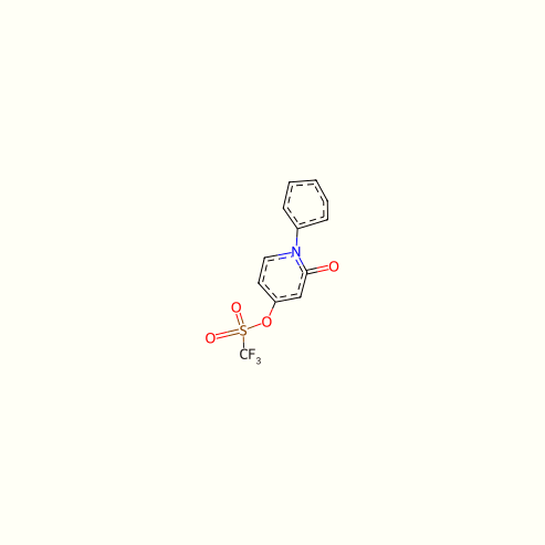 O=c1cc(OS(=O)(=O)C(F)(F)F)ccn1-c1ccccc1